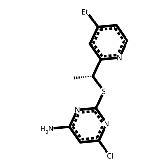 CCc1ccnc([C@@H](C)Sc2nc(N)cc(Cl)n2)c1